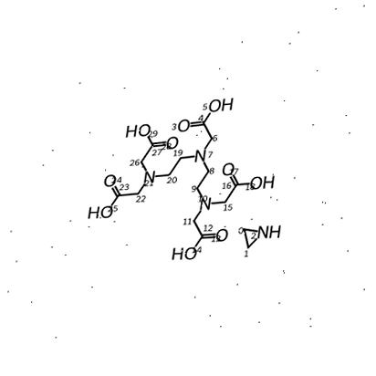 C1CN1.O=C(O)CN(CCN(CC(=O)O)CC(=O)O)CCN(CC(=O)O)CC(=O)O